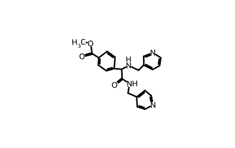 COC(=O)c1ccc(C(NCc2cccnc2)C(=O)NCc2ccncc2)cc1